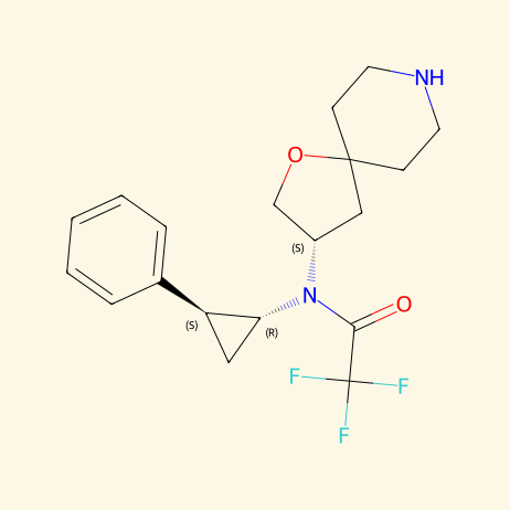 O=C(N([C@@H]1COC2(CCNCC2)C1)[C@@H]1C[C@H]1c1ccccc1)C(F)(F)F